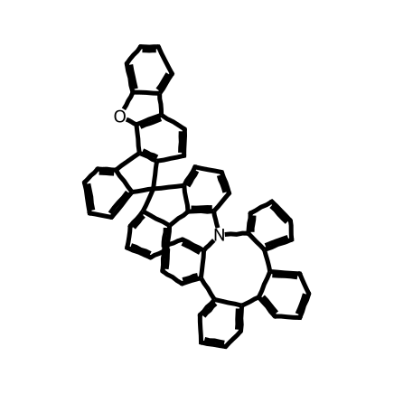 c1ccc2c(c1)-c1c(-n3c4ccccc4c4ccccc4c4ccccc4c4ccccc43)cccc1C21c2ccccc2-c2c1ccc1c2oc2ccccc21